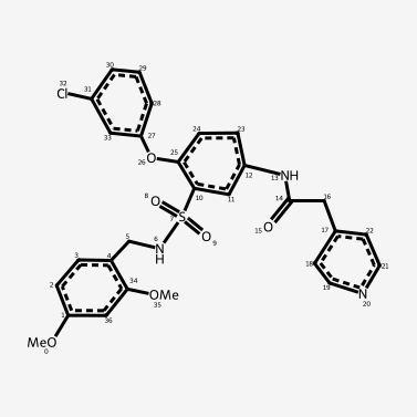 COc1ccc(CNS(=O)(=O)c2cc(NC(=O)Cc3ccncc3)ccc2Oc2cccc(Cl)c2)c(OC)c1